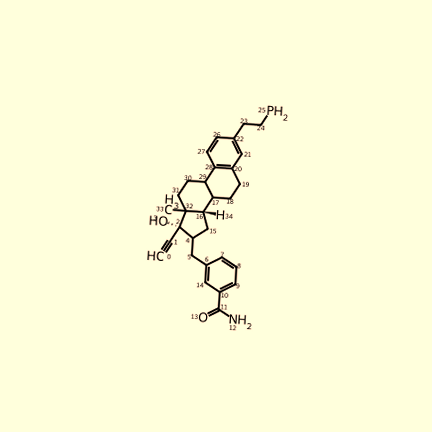 C#C[C@]1(O)C(Cc2cccc(C(N)=O)c2)C[C@H]2C3CCc4cc(CCP)ccc4C3CCC21C